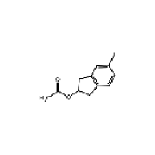 CC(=O)OC1Cc2ccc(I)cc2C1